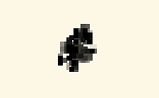 Cc1ccc(-c2cncc(=O)[nH]2)cc1NC(=O)C1=CNC(=O)C[C@H]1c1ccc(F)cc1